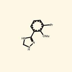 COc1c(C2=NNCN2)cccc1C(C)C